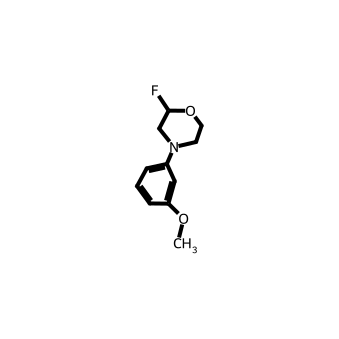 COc1cccc(N2CCOC(F)C2)c1